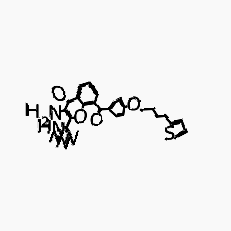 Nc1c(-c2nnn[nH]2)oc2c(C(=O)c3ccc(OCCCCc4cccs4)cc3)cccc2c1=O